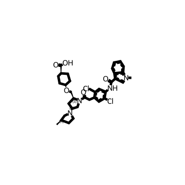 C[C@@H]1CCN([C@H]2C[C@@H](CO[C@H]3CC[C@H](C(=O)O)CC3)N(C(=O)Cc3cc(Cl)c(NC(=O)c4cn(C)c5ccccc45)cc3Cl)C2)C1